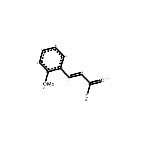 COc1ccccc1/C=C/C(=O)Cl